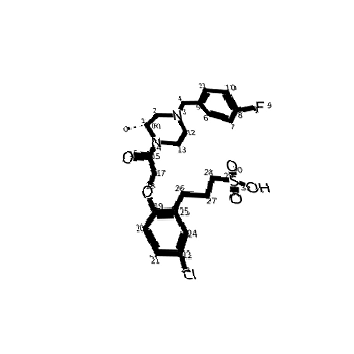 C[C@@H]1CN(Cc2ccc(F)cc2)CCN1C(=O)COc1ccc(Cl)cc1CCCS(=O)(=O)O